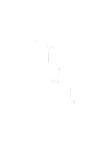 CCNCC(=O)NCC#N